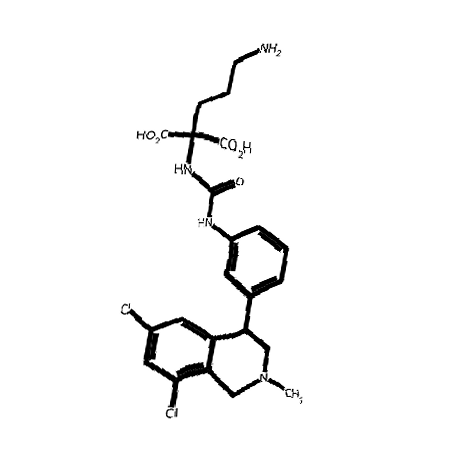 CN1Cc2c(Cl)cc(Cl)cc2C(c2cccc(NC(=O)NC(CCCN)(C(=O)O)C(=O)O)c2)C1